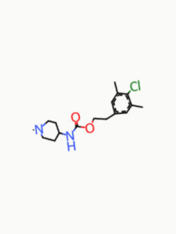 Cc1cc(CCOC(=O)NC2CC[N]CC2)cc(C)c1Cl